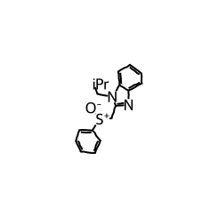 CC(C)Cn1c(C[S+]([O-])c2ccccc2)nc2ccccc21